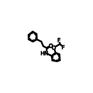 O=C(CCc1ccccc1)Nc1ccccc1OC(F)F